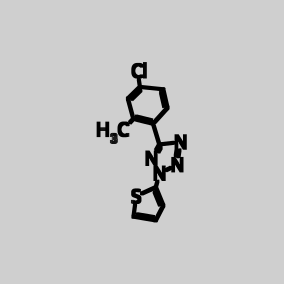 Cc1cc(Cl)ccc1-c1nnn(-c2cccs2)n1